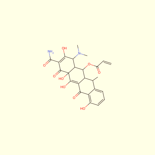 C=CC(=O)OC1C2C(=C(O)C3(O)C(=O)C(C(N)=O)=C(O)C(N(C)C)C13)C(=O)c1c(O)cccc1C2C